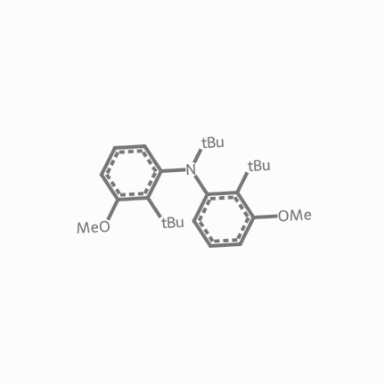 COc1cccc(N(c2cccc(OC)c2C(C)(C)C)C(C)(C)C)c1C(C)(C)C